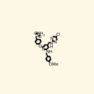 COc1ccc(CNc2cc(CNc3ncc(Cl)cn3)cc(Oc3ccc(CS(N)(=O)=O)cc3)n2)cc1